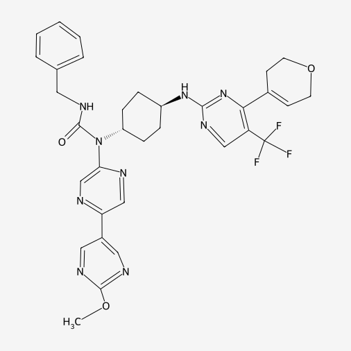 COc1ncc(-c2cnc(N(C(=O)NCc3ccccc3)[C@H]3CC[C@H](Nc4ncc(C(F)(F)F)c(C5=CCOCC5)n4)CC3)cn2)cn1